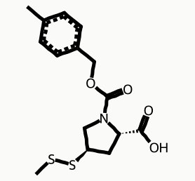 CSS[C@@H]1C[C@@H](C(=O)O)N(C(=O)OCc2ccc(C)cc2)C1